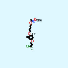 CCc1cc(OCC=C(Cl)Cl)cc(C)c1OCCCCCOC(C)=NOC(C)(C)C